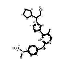 Cc1cnc(Nc2ccc(N(C)C(=O)O)cc2)nc1-c1cnn(C(CC#N)C2CCCC2)c1